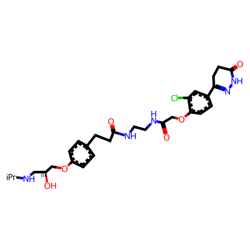 CC(C)NC[C@H](O)COc1ccc(CCC(=O)NCCNC(=O)COc2ccc(C3=NNC(=O)CC3)cc2Cl)cc1